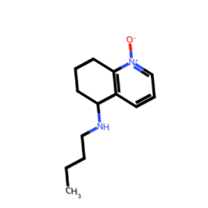 CCCCNC1CCCc2c1ccc[n+]2[O-]